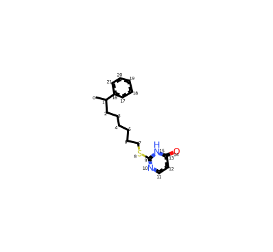 CC(CCCCCCSc1nccc(=O)[nH]1)c1ccccc1